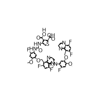 COc1cc(F)c(N)cc1OCc1c(F)cc(F)c2nccnc12.COc1cc(F)c(NC(=O)Nc2csc(C(=O)O)c2C(=O)O)cc1OCc1c(F)cc(F)c2nccnc12